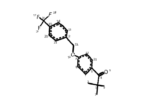 CC(C)(C)C(=O)c1ccc(OCc2ccc(C(F)(F)F)cc2)cc1